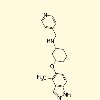 Cc1c(O[C@H]2CCC[C@@H](NCc3ccncc3)C2)ccc2[nH]ncc12